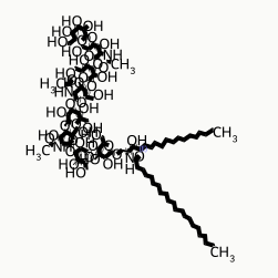 CCCCCCCCCCCCC/C=C/[C@@H](O)[C@H](CO[C@@H]1OC(CO)[C@@H](O[C@@H]2OC(CO)[C@H](O)[C@H](O[C@@H]3OC(CO)[C@@H](O[C@@H]4OC(CO)[C@H](O)[C@H](O[C@@H]5OC(CO)[C@@H](O[C@@H]6OC(CO)[C@H](O)[C@H](O[C@@H]7OC(CO)[C@@H](O[C@@H]8OC(CO)[C@H](O)[C@H](O)C8O)[C@H](O)C7NC(C)=O)C6O)[C@H](O)C5NC(C)=O)C4O)[C@H](O)C3NC(C)=O)C2O)[C@H](O)C1O)NC(=O)CCCCCCCCCCCCCCCCCCCCC